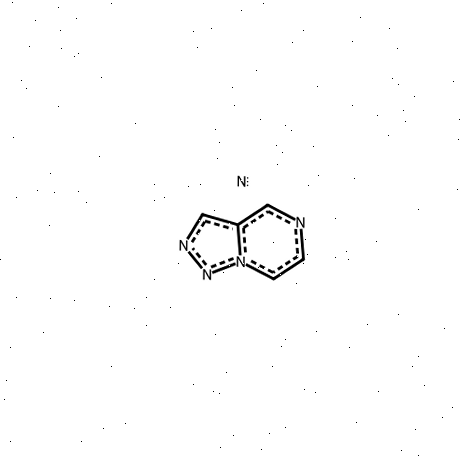 [N].c1cn2nncc2cn1